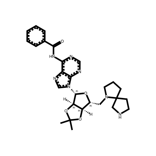 CC1(C)O[C@@H]2[C@H](O1)[C@@H](CN1CCCC13CCNC3)O[C@H]2n1cnc2c(NC(=O)c3ccccc3)ncnc21